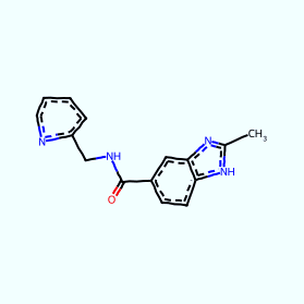 Cc1nc2cc(C(=O)NCc3ccccn3)ccc2[nH]1